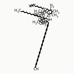 C#CC#CC#CC#CC#CC#CC#CC#CC#CC#CC#CC#CCC(=O)N[C@@H](CO[C@H]1OC(COCCCCCCN=[N+]=[N-])[C@H](C)[C@H](C)C1C)[C@H](O[Si](C)(C)C(C)(C)C)[C@@H](CCCCCCCCCCCCCC)O[Si](C)(C)C(C)(C)C